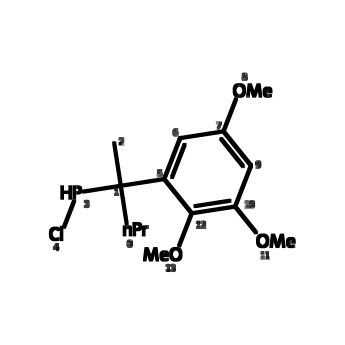 CCCC(C)(PCl)c1cc(OC)cc(OC)c1OC